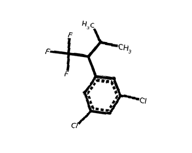 CC(C)C(c1cc(Cl)cc(Cl)c1)C(F)(F)F